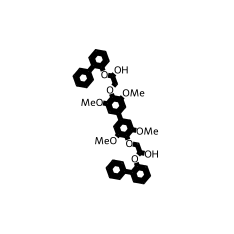 COc1cc(-c2cc(OC)c(OCC(O)Oc3ccccc3-c3ccccc3)c(OC)c2)cc(OC)c1OCC(O)Oc1ccccc1-c1ccccc1